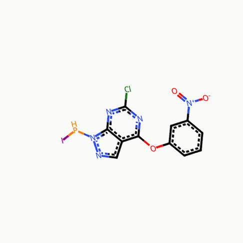 O=[N+]([O-])c1cccc(Oc2nc(Cl)nc3c2cnn3PI)c1